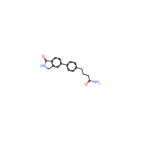 NC(=O)CCCc1ccc(-c2ccc3c(c2)CNC3=O)cc1